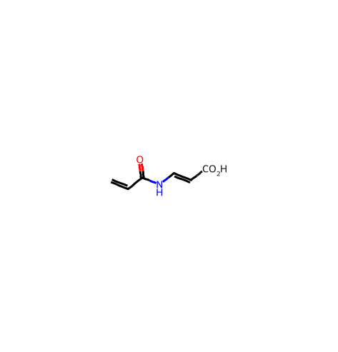 C=CC(=O)NC=CC(=O)O